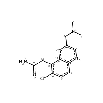 CN(C)Cc1cnc2ccc(Cl)c(CC(N)=O)c2c1